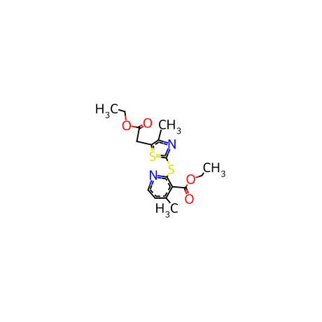 CCOC(=O)Cc1sc(Sc2nccc(C)c2C(=O)OCC)nc1C